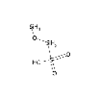 O=S(=O)(O)[SiH2]O[SiH3]